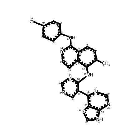 Cc1ccc2c(Nc3ccc(Cl)cc3)nccc2c1Nc1ncncc1-c1ncnc2[nH]cnc12